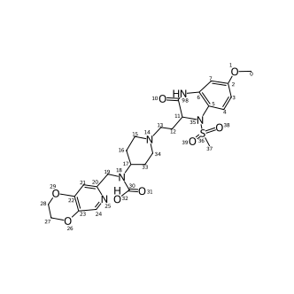 COc1ccc2c(c1)NC(=O)C(CCN1CCC(N(Cc3cc4c(cn3)OCCO4)C(=O)O)CC1)N2S(C)(=O)=O